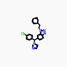 Clc1ccc(C(c2ccc3nnn(CCc4ccccc4)c3c2)n2ccnc2)cc1